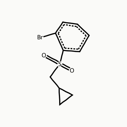 O=S(=O)(CC1CC1)c1ccccc1Br